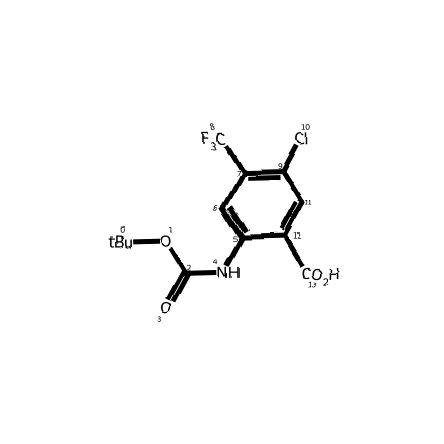 CC(C)(C)OC(=O)Nc1cc(C(F)(F)F)c(Cl)cc1C(=O)O